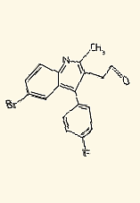 Cc1nc2ccc(Br)cc2c(-c2ccc(F)cc2)c1CC=O